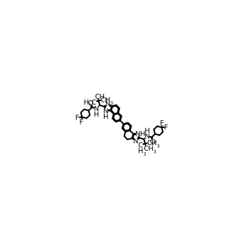 CC(C)(C)[C@H](NC(=O)C1CCC(F)(F)CC1)c1nc2c([nH]1)-c1ccc(-c3ccc4c(ccc5nc([C@@H](NC(=O)C6CCC(F)(F)CC6)C(C)(C)C)[nH]c54)c3)cc1CC2